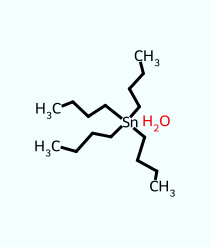 CCC[CH2][Sn]([CH2]CCC)([CH2]CCC)[CH2]CCC.O